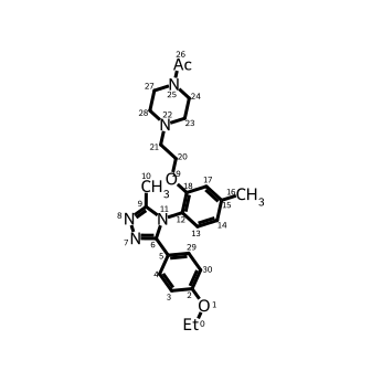 CCOc1ccc(-c2nnc(C)n2-c2ccc(C)cc2OCCN2CCN(C(C)=O)CC2)cc1